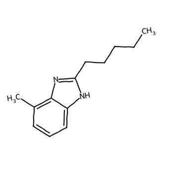 CCCCCc1nc2c(C)cccc2[nH]1